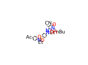 CCCCC(CC)Cn1c(O)c(/N=N/c2ccc(S(=O)(=O)N(CC)c3ccc(C(C)=O)cc3)cc2)c(C)c(C#N)c1=O